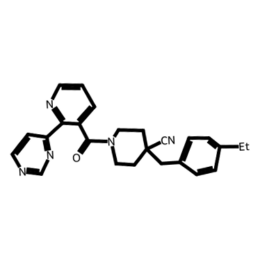 CCc1ccc(CC2(C#N)CCN(C(=O)c3cccnc3-c3ccncn3)CC2)cc1